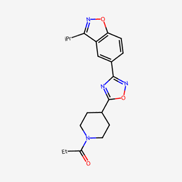 CCC(=O)N1CCC(c2nc(-c3ccc4onc(C(C)C)c4c3)no2)CC1